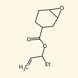 C=CC(CC)OC(=O)C1CCC2OC2C1